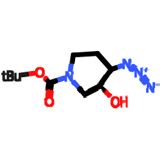 CC(C)(C)OC(=O)N1CCC(N=[N+]=[N-])[C@@H](O)C1